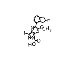 COc1cc2c(nc1-c1cccc3c1CC(F)C3)c(I)nn2C(=O)O